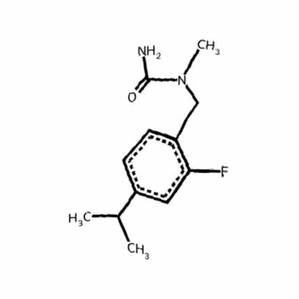 CC(C)c1ccc(CN(C)C(N)=O)c(F)c1